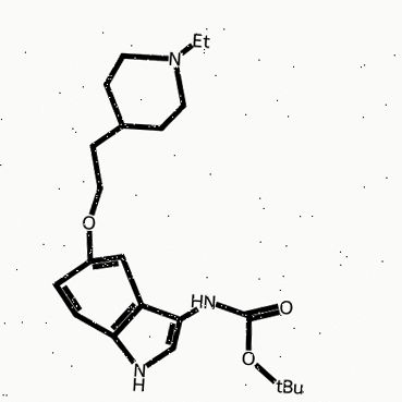 CCN1CCC(CCOc2ccc3[nH]cc(NC(=O)OC(C)(C)C)c3c2)CC1